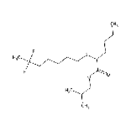 CCCCC(SCCCCCC(C)(F)F)C(=O)OCC(C)C